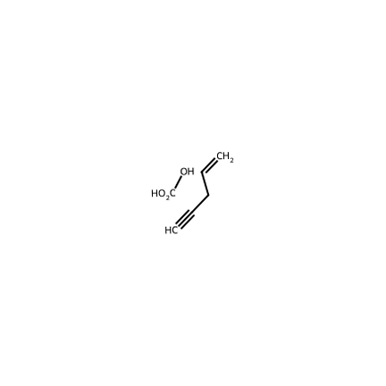 C#CCC=C.O=C(O)O